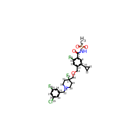 CS(=O)(=O)NC(=O)c1cc(C2CC2)c(COCC2(F)CCN(Cc3cc(F)cc(Cl)c3)CC2)cc1F